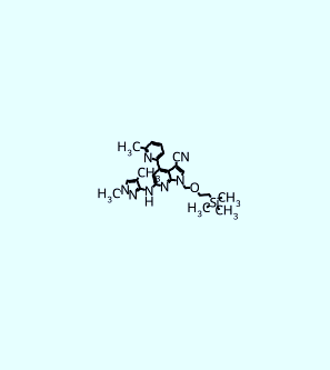 Cc1cccc(-c2cc(Nc3nn(C)cc3C)nc3c2c(C#N)cn3COCC[Si](C)(C)C)n1